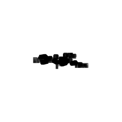 CCCCCCCCCCCCOc1ccc(CC(=O)NCc2cc[n+](CC)cc2)cc1OC.[I-]